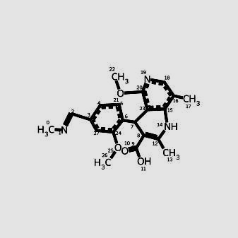 C/N=C/c1ccc(C2C(C(=O)O)=C(C)Nc3c(C)cnc(OC)c32)c(OC)c1